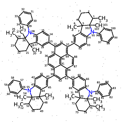 CC1CCCC2(C)c3cc(-c4cc(-c5ccc6c(c5)C5(C)CCCC(C)C5(C)N6c5ccccc5)c5ccc6c(-c7ccc8c(c7)C7(C)CCCC(C)C7(C)N8c7ccccc7)cc(-c7ccc8c(c7)C7(C)CCCC(C)C7(C)N8c7ccccc7)c7ccc4c5c76)ccc3N(c3ccccc3)C12C